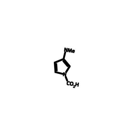 CNc1ccn(C(=O)O)c1